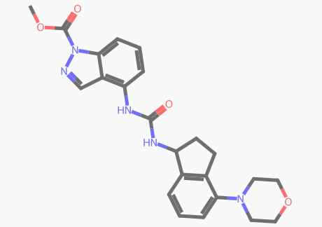 COC(=O)n1ncc2c(NC(=O)NC3CCc4c3cccc4N3CCOCC3)cccc21